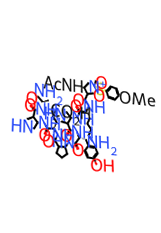 COc1ccc(S(=O)(=O)[N+]2(C)CC(NC(C)=O)C(C(=O)N[C@H](CCCCN)C(=O)NC3CNCC3C(=O)N[C@H](Cc3ccc(O)cc3)C(=O)NC3CCCC3C(=O)N[C@H](CCC(=O)O)C(=O)NC3CNCC3C(=O)N[C@H](C)C(N)=O)C2)cc1